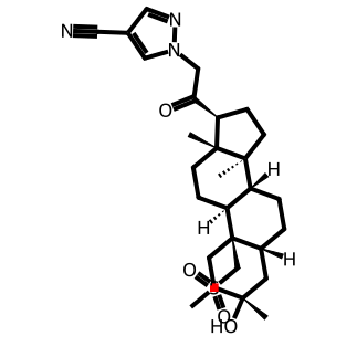 C[C@@]1(O)CC[C@@]2(CS(C)(=O)=O)[C@H](CC[C@@H]3[C@@H]2CC[C@]2(C)[C@@H](C(=O)Cn4cc(C#N)cn4)CC[C@@]32C)C1